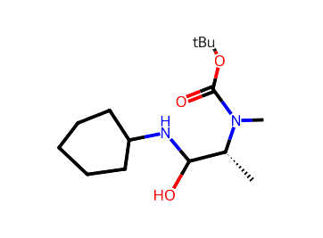 C[C@H](C(O)NC1CCCCC1)N(C)C(=O)OC(C)(C)C